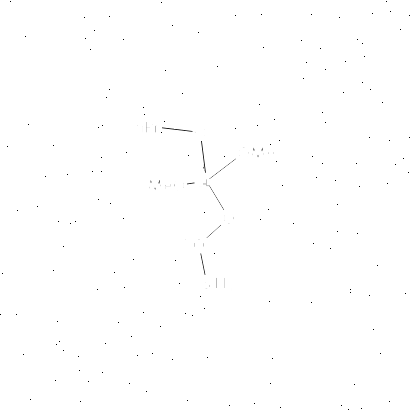 CCCO[Si](OC)(OC)OO[SiH3]